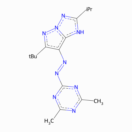 Cc1nc(C)nc(N=Nc2c(C(C)(C)C)nn3nc(C(C)C)[nH]c23)n1